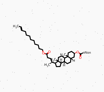 C/C=C/CCCCCCCCCOC(=O)CC[C@H](C)C1CC[C@H]2[C@H]3CC[C@H]4C[C@H](OC(=O)CCCCCCCCC)CCC4(C)C3CCC12C